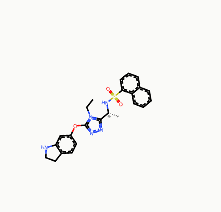 CCn1c(Oc2ccc3c(c2)NCC3)nnc1[C@@H](C)NS(=O)(=O)c1cccc2ccccc12